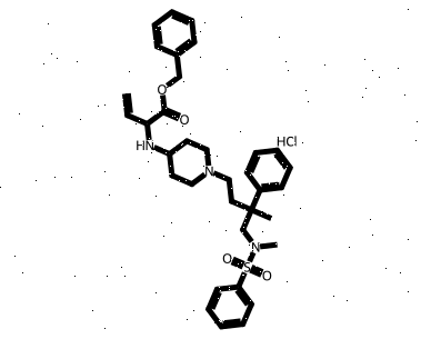 C=CC(NC1CCN(CCC(C)(CN(C)S(=O)(=O)c2ccccc2)c2ccccc2)CC1)C(=O)OCc1ccccc1.Cl